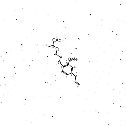 C=CCc1ccc(OCCOC(C)OC(C)=O)c(OC)c1